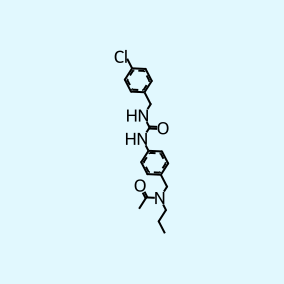 CCCN(Cc1ccc(NC(=O)NCc2ccc(Cl)cc2)cc1)C(C)=O